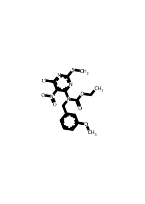 CCOC(=O)N(Cc1cccc(OC)c1)c1nc(SC)nc(Cl)c1[N+](=O)[O-]